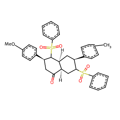 COc1ccc([C@@H]2CC(=O)[C@@H]3CC(S(=O)(=O)c4ccccc4)[C@H](c4ccc(C)cc4)C[C@@H]3C2S(=O)(=O)c2ccccc2)cc1